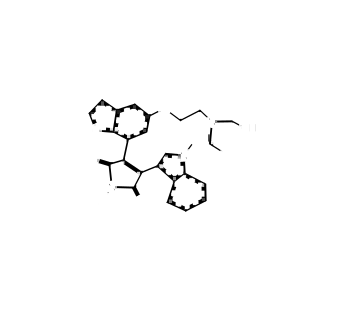 CCN(CC)CCOc1cc(C2=C(c3cn(C)c4ccccc34)C(=O)N(C)C2=O)c2occc2c1